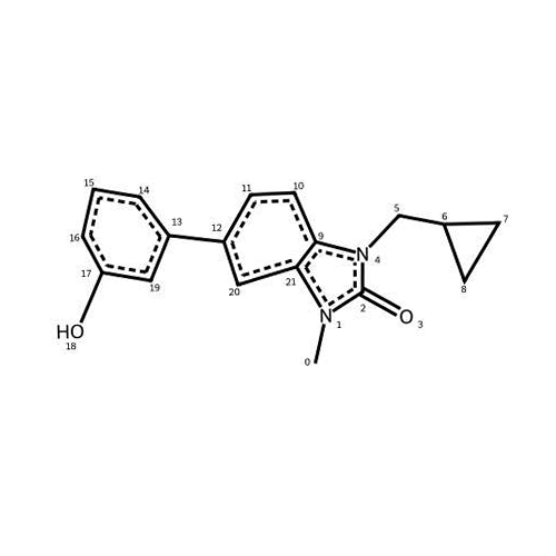 Cn1c(=O)n(CC2CC2)c2ccc(-c3cccc(O)c3)cc21